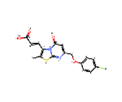 Cc1sc2nc(COc3ccc(F)cc3)cc(=O)n2c1C=CC(=O)O